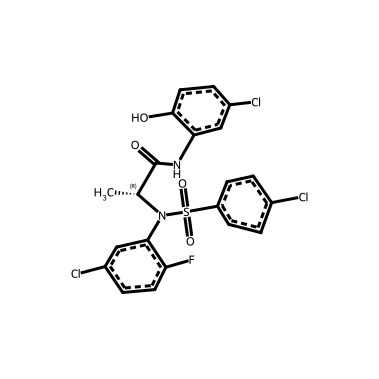 C[C@H](C(=O)Nc1cc(Cl)ccc1O)N(c1cc(Cl)ccc1F)S(=O)(=O)c1ccc(Cl)cc1